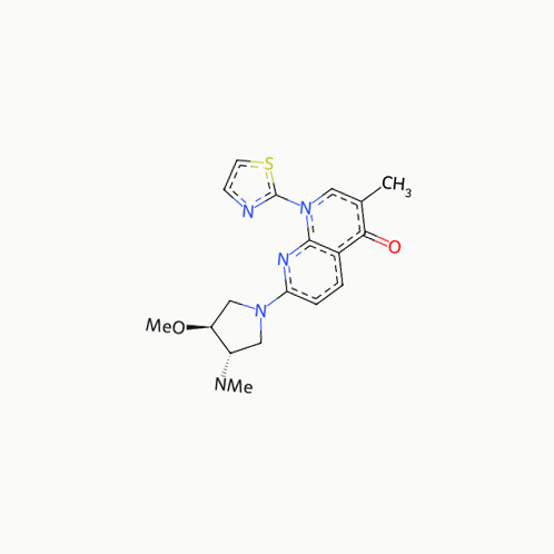 CN[C@H]1CN(c2ccc3c(=O)c(C)cn(-c4nccs4)c3n2)C[C@@H]1OC